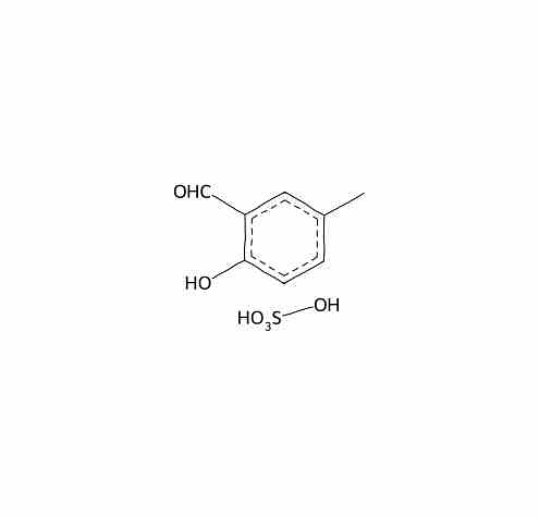 Cc1ccc(O)c(C=O)c1.O=S(=O)(O)O